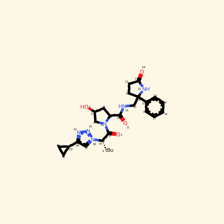 CC(C)(C)[C@@H](C(=O)N1CC(O)CC1C(=O)NCC1(c2ccccc2)CCC(=O)N1)n1cc(C2CC2)nn1